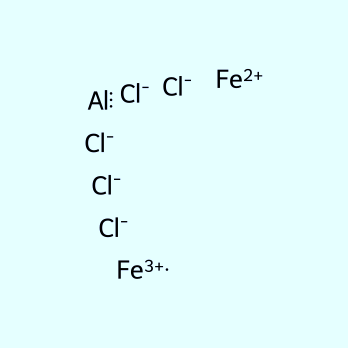 [Al].[Cl-].[Cl-].[Cl-].[Cl-].[Cl-].[Fe+2].[Fe+3]